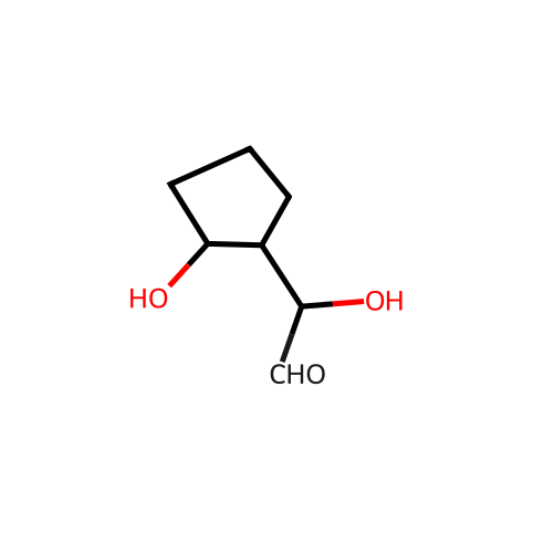 O=CC(O)C1CCCC1O